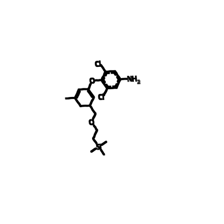 CC1=CC(Oc2c(Cl)cc(N)cc2Cl)=CC(COCC[Si](C)(C)C)C1